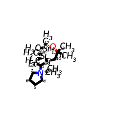 CCC([N+]1(C)CCCC1)[Si]1(C)CC(C)(C)O[Si](C)(C)[Si]1(C)C